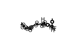 Cc1ccc(-c2cc(C(F)(F)F)nn2-c2ccc(S(=O)(=O)NC(=O)CCC(=O)OCC3CN(/[N+]([O-])=N/OC(C)OC(=O)OC(C)C)C3)cc2)cc1